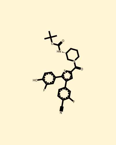 CC(C)(C)OC(=O)N[C@@H]1CCCN(C(=O)c2cc(-c3ccc(C#N)c(F)c3)c(-c3ccc(O)c(F)c3)s2)C1